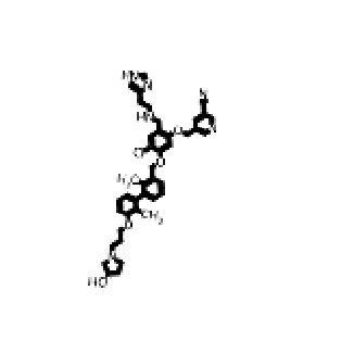 Cc1c(COc2cc(OCc3cncc(C#N)c3)c(CNCCc3c[nH]cn3)cc2Cl)cccc1-c1cccc(OCCCN2CC[C@@H](O)C2)c1C